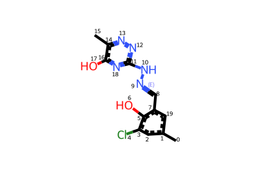 Cc1cc(Cl)c(O)c(/C=N/Nc2nnc(C)c(O)n2)c1